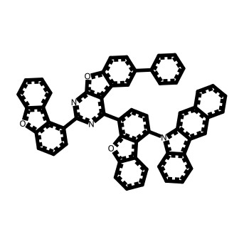 c1ccc(-c2ccc3oc4nc(-c5cccc6oc7ccccc7c56)nc(-c5ccc(-n6c7ccccc7c7cc8ccccc8cc76)c6c5oc5ccccc56)c4c3c2)cc1